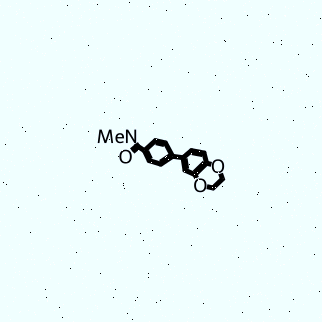 CNC(=O)c1ccc(-c2ccc3c(c2)OCCO3)cc1